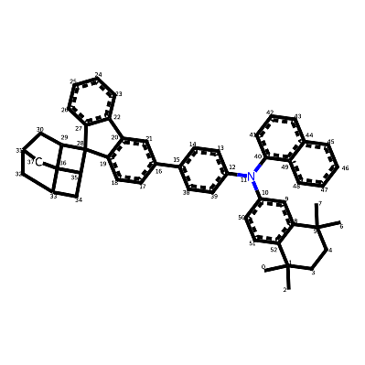 CC1(C)CCC(C)(C)c2cc(N(c3ccc(-c4ccc5c(c4)-c4ccccc4C54C5CC6CC7CC4C75C6)cc3)c3cccc4ccccc34)ccc21